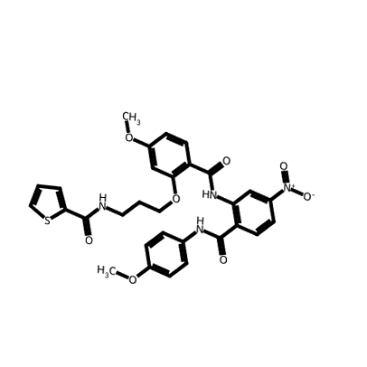 COc1ccc(NC(=O)c2ccc([N+](=O)[O-])cc2NC(=O)c2ccc(OC)cc2OCCCNC(=O)c2cccs2)cc1